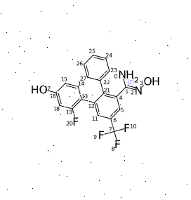 N/C(=N\O)c1cc(C(F)(F)F)cc(-c2ccc(O)cc2F)c1-c1ccccc1